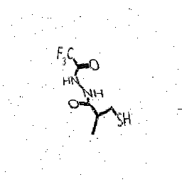 CC(CS)C(=O)NNC(=O)C(F)(F)F